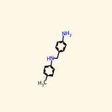 Cc1ccc(NCc2ccc(N)cc2)cc1